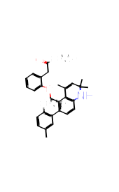 COC(=O)Cc1ccccc1OCc1c(-c2cc(C)ccc2OC)ccc2c1C(C)=CC(C)(C)N2